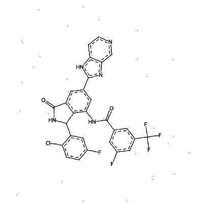 O=C(Nc1cc(-c2nc3cnccc3[nH]2)cc2c1C(c1cc(F)ccc1Cl)NC2=O)c1cc(F)cc(C(F)(F)F)c1